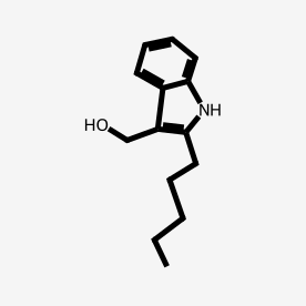 CCCCCc1[nH]c2ccccc2c1CO